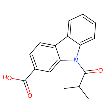 CC(C)C(=O)n1c2ccccc2c2ccc(C(=O)O)cc21